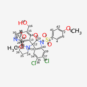 COc1ccc(S(=O)(=O)N2C(=O)C(c3cc(CO)ccc3OC)(N3CCC[C@H]3c3ncco3)c3cc(Cl)c(Cl)cc32)cc1